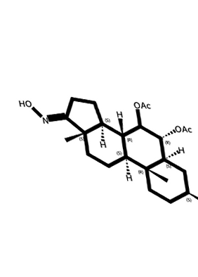 CC(=O)OC1[C@@H]2[C@H](CC[C@]3(C)C(=NO)CC[C@@H]23)[C@@]2(C)CC[C@H](C)C[C@@H]2[C@H]1OC(C)=O